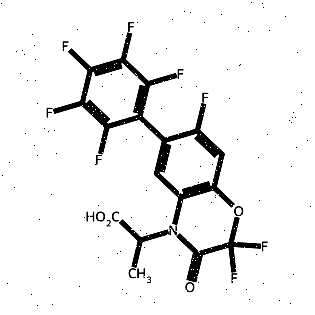 CC(C(=O)O)N1C(=O)C(F)(F)Oc2cc(F)c(-c3c(F)c(F)c(F)c(F)c3F)cc21